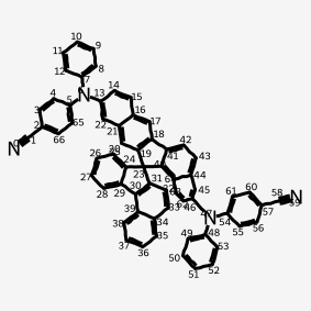 N#Cc1ccc(N(c2ccccc2)c2ccc3cc4c(cc3c2)C2(c3ccccc3-c3c2ccc2ccccc32)c2c-4ccc3cc(N(c4ccccc4)c4ccc(C#N)cc4)ccc23)cc1